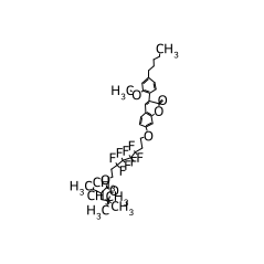 CCCCCc1ccc(-c2cc3ccc(OCCC(F)(F)C(F)(F)C(F)(F)C(F)(F)CCOC(=O)C(CC(C)(C)C)C(C)(C)C)cc3oc2=O)c(OC)c1